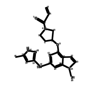 C=CC(=O)N1CCC(Oc2nc(Nc3cc(C)[nH]n3)cc3c2ccn3C(C)C)C1